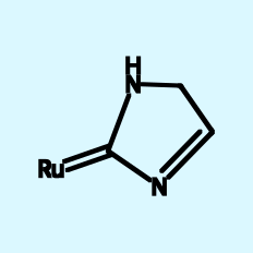 [Ru]=[C]1N=CCN1